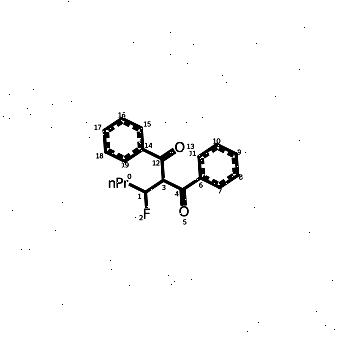 CCCC(F)C(C(=O)c1ccccc1)C(=O)c1ccccc1